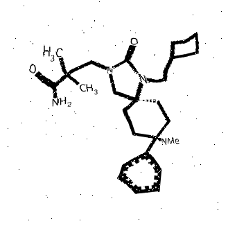 CN[C@]1(c2ccccc2)CC[C@]2(CC1)CN(CC(C)(C)C(N)=O)C(=O)N2CC1CCC1